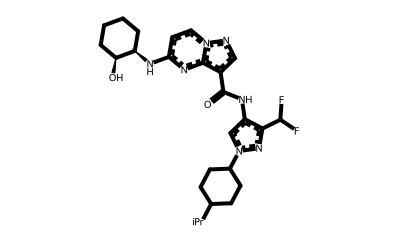 CC(C)C1CCC(n2cc(NC(=O)c3cnn4ccc(N[C@@H]5CCCC[C@@H]5O)nc34)c(C(F)F)n2)CC1